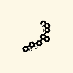 c1cnc2c(c1)ccc1ccc(-c3ccc(-c4ccc5oc6c(ccc7c8ccccc8oc76)c5c4)c4ccccc34)nc12